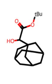 CC(C)(C)OC(=O)C(O)C12CC3CC(CC(C3)C1)C2